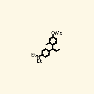 C/C=C(/c1ccc(N(CC)CC)cc1)c1ccc(OC)cc1C